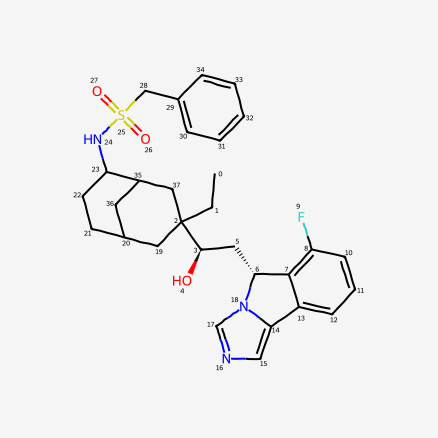 CCC1([C@H](O)C[C@@H]2c3c(F)cccc3-c3cncn32)CC2CCC(NS(=O)(=O)Cc3ccccc3)C(C2)C1